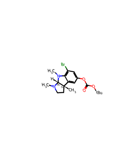 CN1CC[C@@]2(C)c3cc(OC(=O)OC(C)(C)C)cc(Br)c3N(C)[C@@H]12